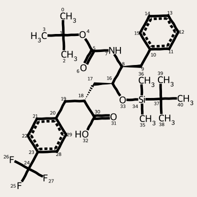 CC(C)(C)OC(=O)N[C@@H](Cc1ccccc1)[C@H](C[C@@H](Cc1ccc(C(F)(F)F)cc1)C(=O)O)O[Si](C)(C)C(C)(C)C